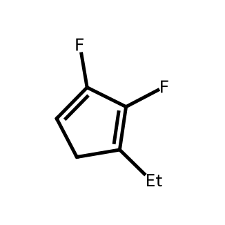 CCC1=C(F)C(F)=CC1